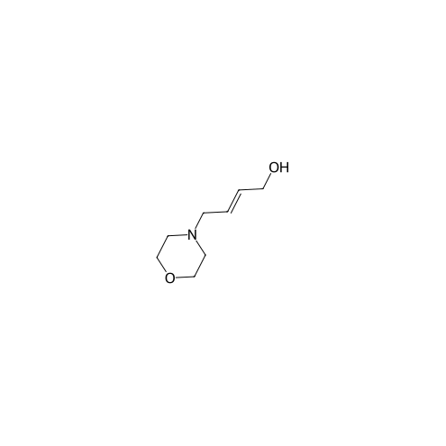 OC/C=C/CN1CCOCC1